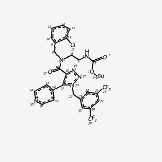 CC(C)(C)OC(=O)NCCN(Cc1ccccc1Cl)C(=O)c1nnn(Cc2cc(C(F)(F)F)cc(C(F)(F)F)c2)c1-c1ccncc1